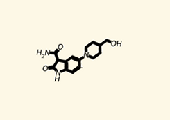 NC(=O)C1C(=O)Nc2c[c]c(N3CCC(CO)CC3)cc21